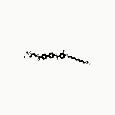 CCCCCCCCCCOc1ccc(C(=O)Oc2ccc(-c3ccc(C(=O)OCC[C@@H](C)CC)cc3)cc2)cc1F